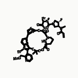 C=CC(=O)N(C)[C@H]1CN(C(=O)N(C)C(C(=O)N[C@H]2Cc3nc(cs3)-c3ccc4c(c3)c(c(-c3cccnc3COC)n4CC)CC(C)(C)COC(=O)[C@@H]3CCCN(N3)C2=O)C(C)C)C[C@@H]1F